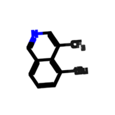 CC(C)(C)c1cccc2cncc(C(F)(F)F)c12